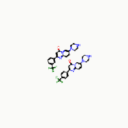 O=c1cc(-c2ccc(C(F)(F)F)cc2)nc2ccc(N3CCNCC3)cn12.O=c1cc(-c2cccc(C(F)(F)F)c2)nc2ccc(N3CCNCC3)cn12